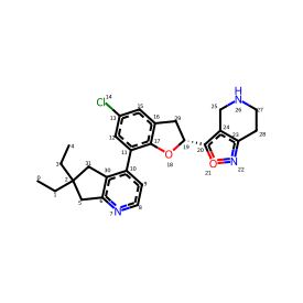 CCC1(CC)Cc2nccc(-c3cc(Cl)cc4c3O[C@@H](c3onc5c3CNCC5)C4)c2C1